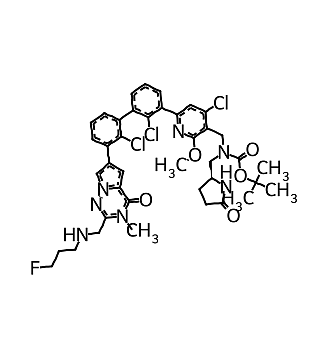 COc1nc(-c2cccc(-c3cccc(-c4cc5c(=O)n(C)c(CNCCCF)nn5c4)c3Cl)c2Cl)cc(Cl)c1CN(C[C@@H]1CCC(=O)N1)C(=O)OC(C)(C)C